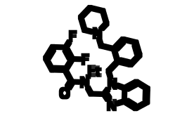 CCN(Cc1nc2ccccc2n1Cc1ccccc1CN1CCCCC1)C(=O)c1cccc(F)c1F